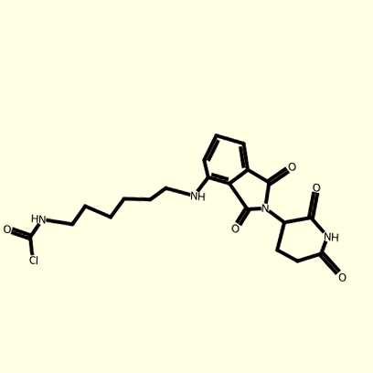 O=C(Cl)NCCCCCCNc1cccc2c1C(=O)N(C1CCC(=O)NC1=O)C2=O